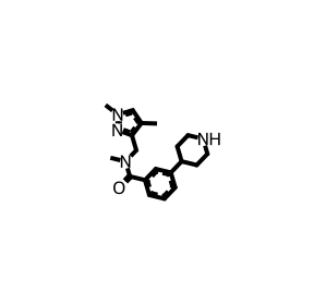 Cc1cn(C)nc1CN(C)C(=O)c1cccc(C2CCNCC2)c1